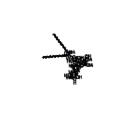 CCCCCCCCCCCCC/C=C/[C@@H](O)[C@H](CO[C@@H]1OC(CO)[C@@H](O[C@@H]2OC(CO)[C@H](O[C@@H]3OC(CO)[C@H](O)[C@H](O[C@@H]4OC(CO)[C@H](O)[C@H](O)C4O)C3C)[C@H](OC3C[C@@H](O)[C@@H](C)C([C@H](O)[C@H](O)CO)O3)C2O)[C@H](O)C1O)NC(=O)CCCCCCCCCCCCCCC